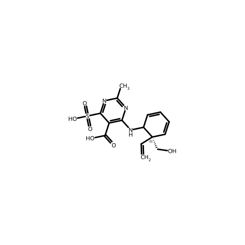 C=C[C@]1(CO)C=CC=CC1Nc1nc(C)nc(S(=O)(=O)O)c1C(=O)O